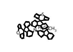 CC1(C)c2ccccc2-c2ccc(N(c3cccc4c3-c3ccccc3C43c4ccccc4Oc4ccccc43)c3cccc4c3-c3ccccc3C43c4ccccc4Sc4ccccc43)cc21